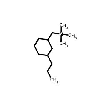 CCCC1CCCC(C[Si](C)(C)C)C1